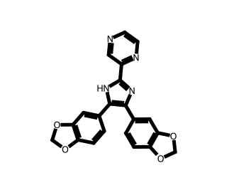 c1cnc(-c2nc(-c3ccc4c(c3)OCO4)c(-c3ccc4c(c3)OCO4)[nH]2)cn1